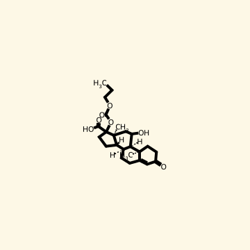 CCCOC(=O)OC1(C(=O)O)CC[C@H]2[C@@H]3CCC4=CC(=O)CC[C@]4(C)[C@@H]3C(O)C[C@@]21C